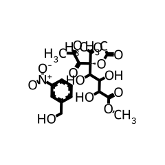 COC(=O)C(O)C(O)C(O)[C@](OC(C)=O)(C(C)=O)C(=O)C(C)=O.O=[N+]([O-])c1cccc(CO)c1